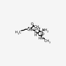 CCCCOC[C@@H](NC(=O)N[C@H](CC(=O)NCC)C(=O)NN)C(C)=O